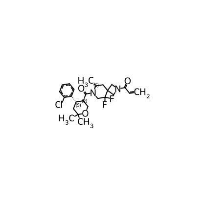 C=CC(=O)N1CC2(C[C@H](C)N(C(=O)[C@H]3COC(C)(C)C[C@@H]3c3ccccc3Cl)CC2(F)F)C1